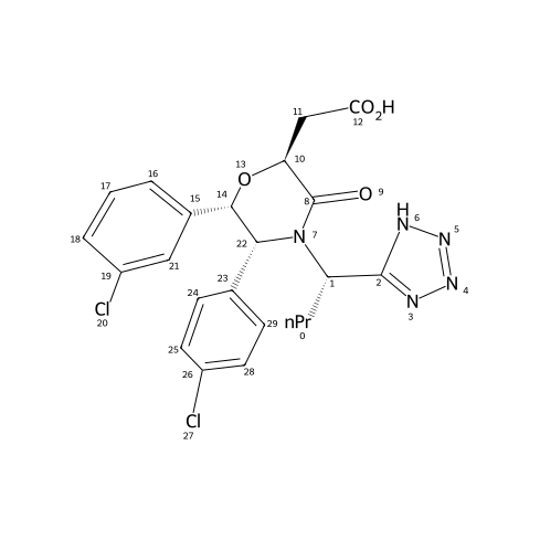 CCC[C@@H](c1nnn[nH]1)N1C(=O)[C@H](CC(=O)O)O[C@@H](c2cccc(Cl)c2)[C@H]1c1ccc(Cl)cc1